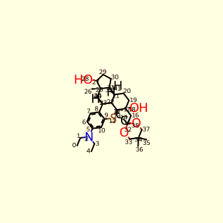 CCN(CC)c1ccc2c(c1)S[C@]13CCC4(C[C@]1(O)CC[C@@H]1C3[C@@H]2C[C@]2(C)[C@@H](O)CC[C@@H]12)OCC(C)(C)CO4